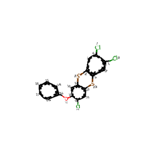 Clc1cc2c(cc1Cl)Sc1cc(Oc3ccccc3)c(Cl)cc1S2